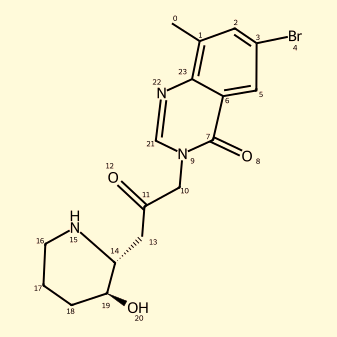 Cc1cc(Br)cc2c(=O)n(CC(=O)C[C@H]3NCCC[C@@H]3O)cnc12